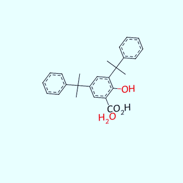 CC(C)(c1ccccc1)c1cc(C(=O)O)c(O)c(C(C)(C)c2ccccc2)c1.O